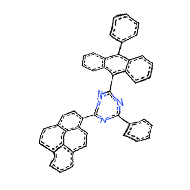 c1ccc(-c2nc(-c3c4ccccc4c(-c4ccccc4)c4ccccc34)nc(-c3ccc4ccc5cccc6ccc3c4c56)n2)cc1